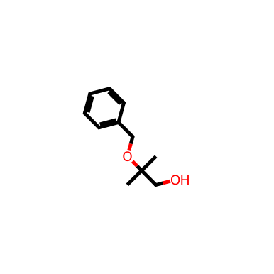 CC(C)(CO)OCc1ccccc1